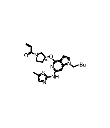 C=CC(=O)N1CC[C@H](Oc2nc(Nc3ncc(C)s3)cc3c2ccn3CC(C)CC)C1